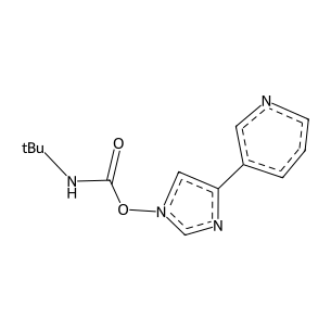 CC(C)(C)NC(=O)On1cnc(-c2cccnc2)c1